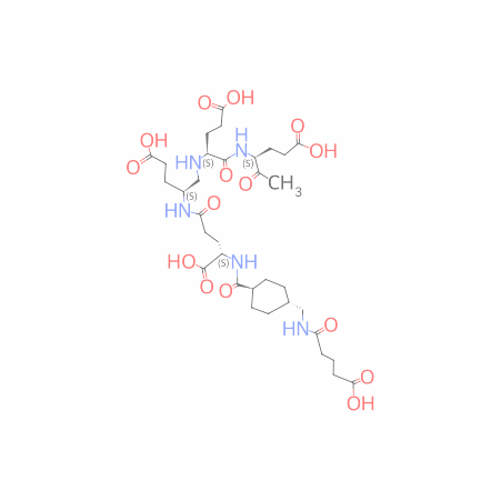 CC(=O)[C@H](CCC(=O)O)NC(=O)[C@H](CCC(=O)O)NC[C@H](CCC(=O)O)NC(=O)CC[C@H](NC(=O)[C@H]1CC[C@H](CNC(=O)CCCC(=O)O)CC1)C(=O)O